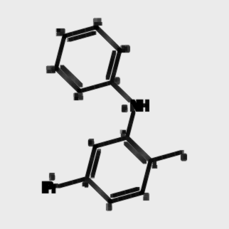 Cc1ccc(C(C)C)cc1Nc1ccccc1